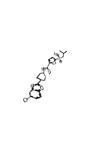 CC(C)CS(=N)(=O)c1ccc(C(=O)NC2CCC(c3nc4cc(Cl)ccc4o3)CC2)o1